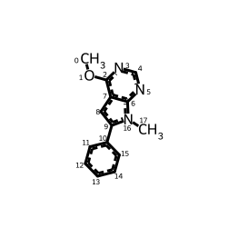 COc1ncnc2c1cc(-c1ccccc1)n2C